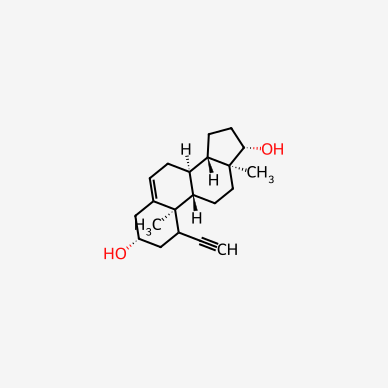 C#CC1C[C@H](O)CC2=CC[C@H]3[C@@H]4CC[C@H](O)[C@@]4(C)CC[C@@H]3[C@]21C